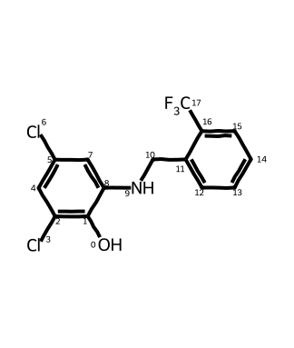 Oc1c(Cl)cc(Cl)cc1NCc1ccccc1C(F)(F)F